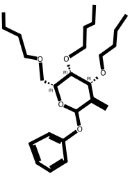 C=C1C(Oc2ccccc2)O[C@H](COCCCC)[C@H](OCCCC)[C@@H]1OCCCC